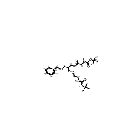 CC(C)(C)OC(=O)NCCOOC(COCc1ccccc1)COC(=O)CNC(=O)OC(C)(C)C